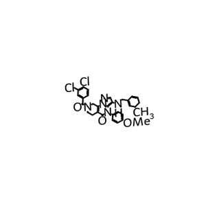 COc1ccc(-n2c(=O)c3c(n4ncc(NCC5=CC(C)CC=C5)c24)CN(C(=O)c2ccc(Cl)c(Cl)c2)CC3)cc1